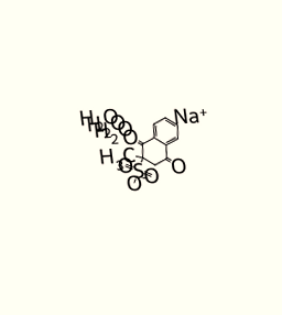 CC1(S(=O)(=O)[O-])CC(=O)c2ccccc2C1=O.O.O.O.[Na+]